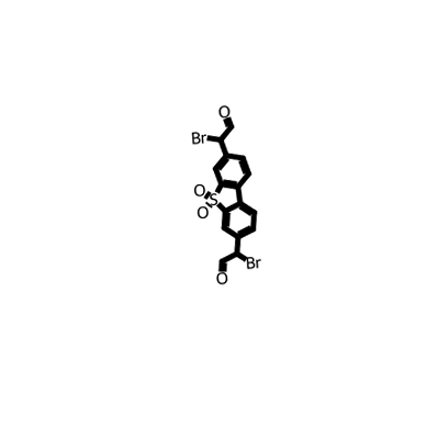 O=CC(Br)c1ccc2c(c1)S(=O)(=O)c1cc(C(Br)C=O)ccc1-2